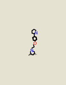 C[C@@H]1C[C@@H](C)CN(CCCOc2ccc(C3=NCCCC3)cc2)C1